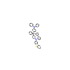 c1ccc(N(c2ccccc2)c2ccc([Si](c3ccccc3)(c3ccccc3)c3cccc(N(c4ccccc4)c4ccc5sc6ccccc6c5c4)c3)cc2)cc1